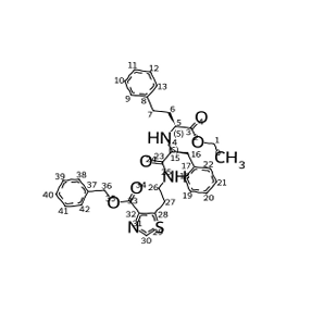 CCOC(=O)[C@H](CCc1ccccc1)N[C@@H](Cc1ccccc1)C(=O)NCCc1scnc1C(=O)OCc1ccccc1